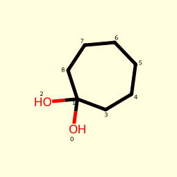 OC1(O)CCCCCC1